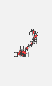 CC(C)(C)C[C@H]1N[C@H](C(=O)NCCOCCOCCOCCOCCOc2ccc(C(=O)N[C@H]3C(C)(C)[C@H](Oc4ccc(C#N)c(Cl)c4)C3(C)C)cc2)[C@@H](c2cccc(Cl)c2F)[C@]1(C#N)c1ccc(Cl)cc1F